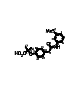 CSc1cccc(NC(=O)Cc2ccc(OC(C)(C)C(=O)O)cc2)c1